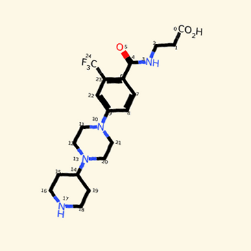 O=C(O)CCNC(=O)c1ccc(N2CCN(C3CCNCC3)CC2)cc1C(F)(F)F